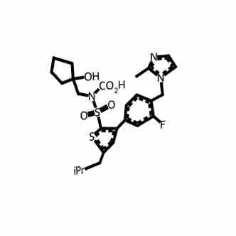 Cc1nccn1Cc1ccc(-c2cc(CC(C)C)sc2S(=O)(=O)N(CC2(O)CCCC2)C(=O)O)cc1F